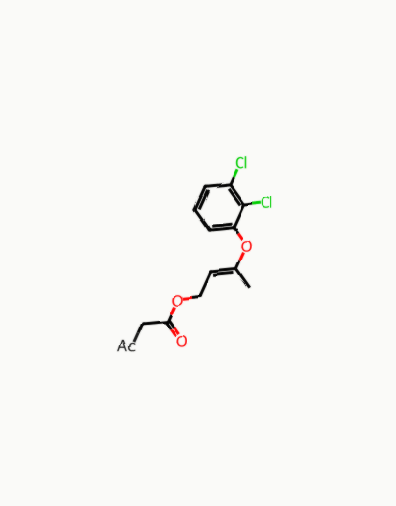 CC(=O)CC(=O)OCC=C(C)Oc1cccc(Cl)c1Cl